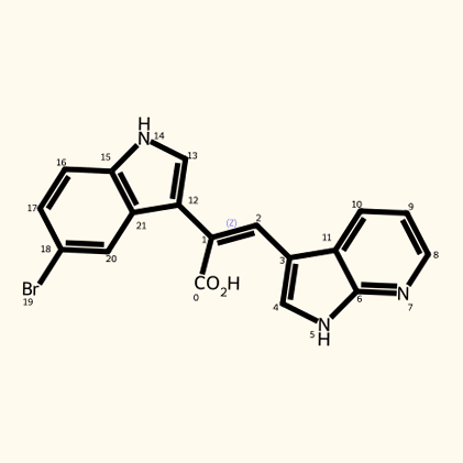 O=C(O)/C(=C\c1c[nH]c2ncccc12)c1c[nH]c2ccc(Br)cc12